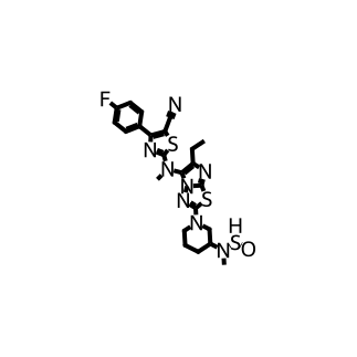 CCc1nc2sc(N3CCCC(N(C)[SH]=O)C3)nn2c1N(C)c1nc(-c2ccc(F)cc2)c(C#N)s1